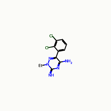 CCn1nc(-c2cccc(Cl)c2Cl)c(N)nc1=N